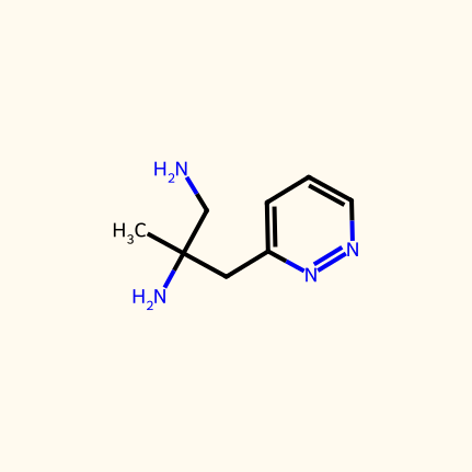 CC(N)(CN)Cc1cccnn1